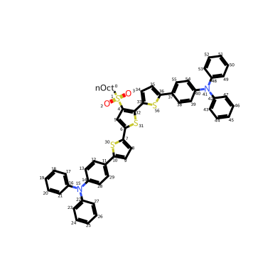 CCCCCCCCS(=O)(=O)c1cc(-c2ccc(-c3ccc(N(c4ccccc4)c4ccccc4)cc3)s2)sc1-c1ccc(-c2ccc(N(c3ccccc3)c3ccccc3)cc2)s1